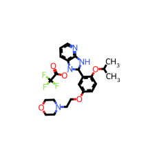 CC(C)Oc1ccc(OCCN2CCOCC2)cc1C1Nc2ncccc2N1OC(=O)C(F)(F)F